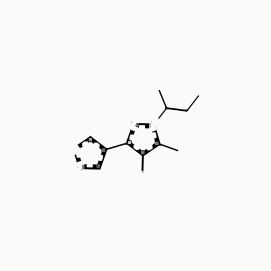 CCC(C)n1nc(-c2cnsc2)c(Cl)c1C